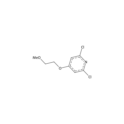 COCCOc1cc(Cl)nc(Cl)c1